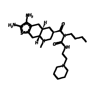 CCCCN(C(=O)NCCN1CCCCC1)C(=O)[C@@H]1C[C@@H]2Cc3c(sc(N)c3N)C[C@H]2N(C)C1